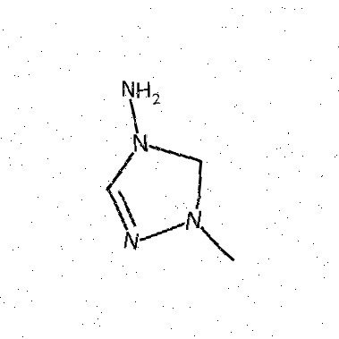 CN1CN(N)C=N1